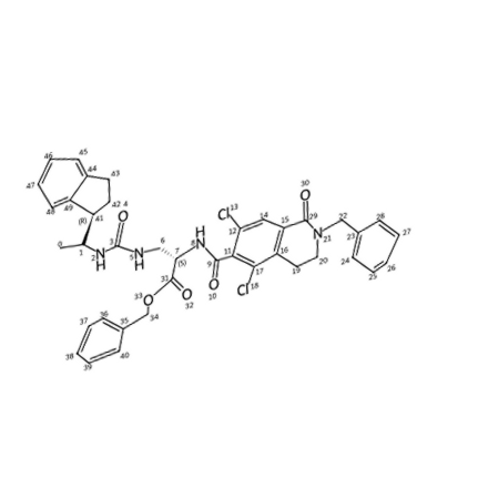 CC(NC(=O)NC[C@H](NC(=O)c1c(Cl)cc2c(c1Cl)CCN(Cc1ccccc1)C2=O)C(=O)OCc1ccccc1)[C@@H]1CCc2ccccc21